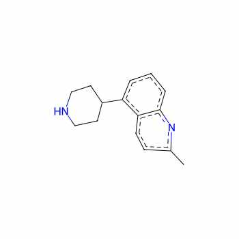 Cc1ccc2c(C3CCNCC3)cccc2n1